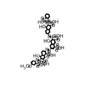 COc1ccc(N=Nc2c(S(=O)(=O)O)cc3c(S(=O)(=O)O)c(N=Nc4cc(S(=O)(=O)O)c5cc(S(=O)(=O)O)c(N=Nc6ccc7c(O)c(N=Nc8ccccc8S(=O)(=O)O)c(S(=O)(=O)O)cc7c6)c(O)c5c4)ccc3c2O)c(S(=O)(=O)O)c1